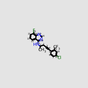 CC(CC#Cc1ccc(Cl)cc1C(F)(F)F)Nc1ncnc2c(F)cccc12